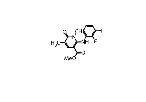 COC(=O)c1cc(C)c(=O)n(C)c1Nc1cccc(I)c1F